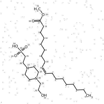 CCCCCCCC/C=C\CCCCCCCC(=O)OC.O=S(=O)(O)CCN1CCN(CCO)CC1